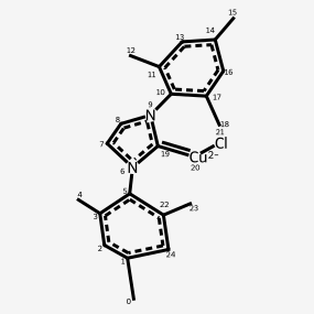 Cc1cc(C)c(-n2ccn(-c3c(C)cc(C)cc3C)[c]2=[Cu-2][Cl])c(C)c1